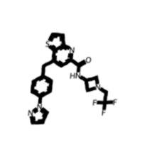 O=C(NC1CN(CC(F)(F)F)C1)c1cc(Cc2ccc(-n3cccn3)cc2)c2sccc2n1